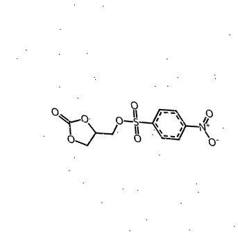 O=C1OCC(COS(=O)(=O)c2ccc([N+](=O)[O-])cc2)O1